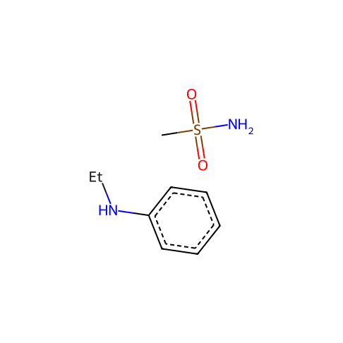 CCNc1ccccc1.CS(N)(=O)=O